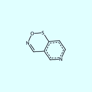 C1=NOSc2ccncc21